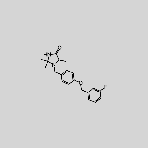 CC1C(=O)NC(C)(C)N1Cc1ccc(OCc2cccc(F)c2)cc1